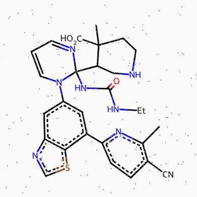 CCNC(=O)NC1(C2CNCCC2(C)C(=O)O)N=CC=CN1c1cc(-c2ccc(C#N)c(C)n2)c2scnc2c1